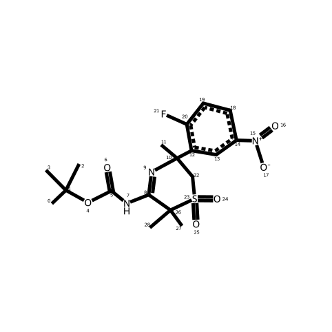 CC(C)(C)OC(=O)NC1=NC(C)(c2cc([N+](=O)[O-])ccc2F)CS(=O)(=O)C1(C)C